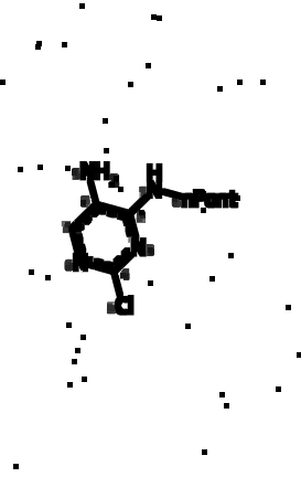 CCCCCNc1nc(Cl)ncc1N